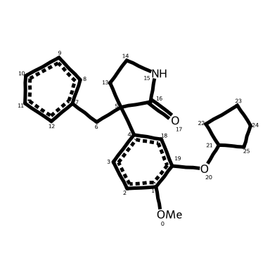 COc1ccc(C2(Cc3ccccc3)CCNC2=O)cc1OC1CCCC1